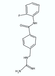 N=C(N)NCc1ccc(C(=O)Nc2ccccc2F)cc1